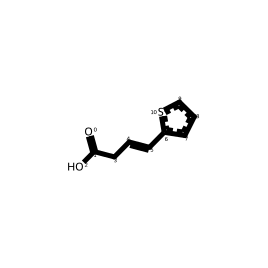 O=C(O)CC=Cc1cccs1